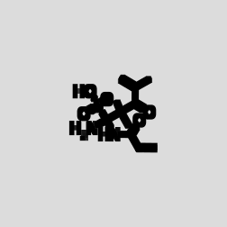 C=CC(=O)NC(N)(C(C)(C)C(=O)C(=C)C)S(=O)(=O)O